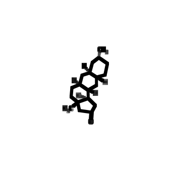 C[C@@H]1CC[C@@H]2C[C@H]3[C@@H](CC[C@@]4(C)CC(=O)C[C@H]34)C[C@H]2C1